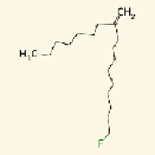 C=C(CCCCCCC)CCCCCCCCCF